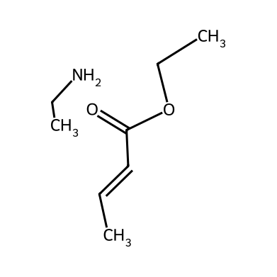 CC=CC(=O)OCC.CCN